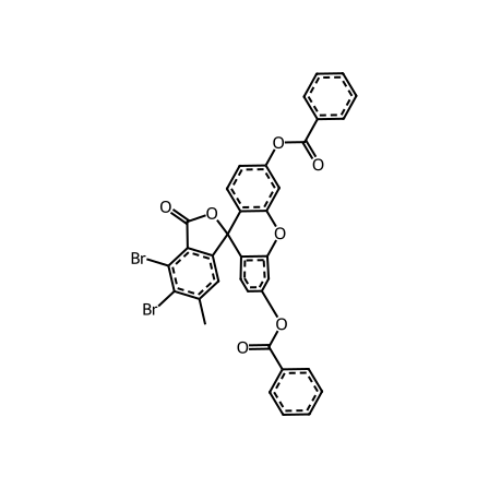 Cc1cc2c(c(Br)c1Br)C(=O)OC21c2ccc(OC(=O)c3ccccc3)cc2Oc2cc(OC(=O)c3ccccc3)ccc21